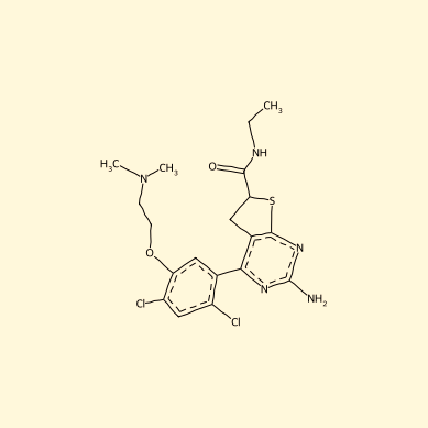 CCNC(=O)C1Cc2c(nc(N)nc2-c2cc(OCCN(C)C)c(Cl)cc2Cl)S1